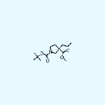 CCC[C@]1(C(=O)OC)CCN(C(=O)OC(C)(C)C)C1